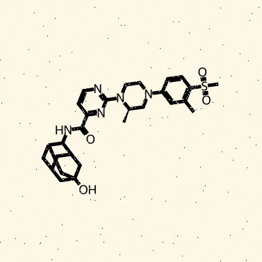 Cc1cc(N2CCN(c3nccc(C(=O)NC4C5CC6CC4CC(O)(C6)C5)n3)[C@H](C)C2)ccc1S(C)(=O)=O